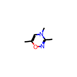 CC1=CN(C)C(C)=NO1